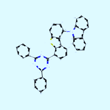 c1ccc(-c2nc(-c3ccccc3)nc(-c3cccc4c3sc3cccc(-n5c6ccccc6c6ccccc65)c34)n2)cc1